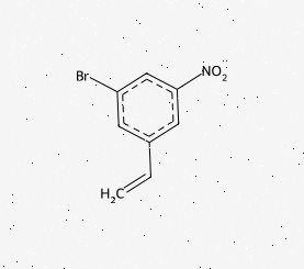 C=Cc1cc(Br)cc([N+](=O)[O-])c1